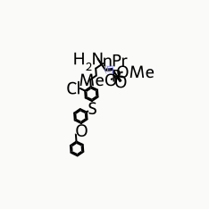 CCCC(N)(/C=C/P(=O)(OC)OC)CCCc1ccc(Sc2cccc(OCc3ccccc3)c2)cc1Cl